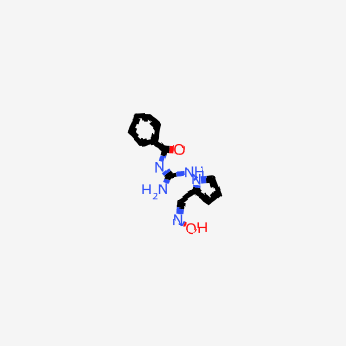 NC(=NC(=O)c1ccccc1)Nn1cccc1/C=N\O